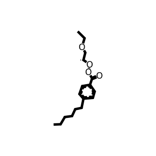 CCCCCCc1ccc(C(=O)OO[CH]COCC)cc1